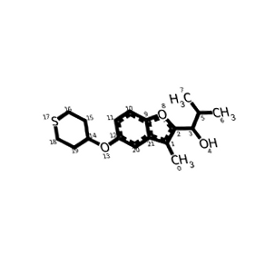 Cc1c(C(O)C(C)C)oc2ccc(OC3CCSCC3)cc12